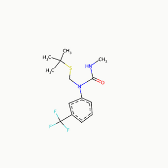 CNC(=O)N(CSC(C)(C)C)c1cccc(C(F)(F)F)c1